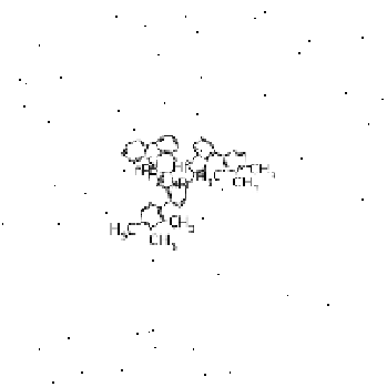 CCCC1=Cc2c(-c3ccc(C)c(C)c3C)cccc2[CH]1[Hf]([c]1cccc2c1[SiH2]c1ccccc1-2)[CH]1C(CCC)=Cc2c(-c3ccc(C)c(C)c3C)cccc21